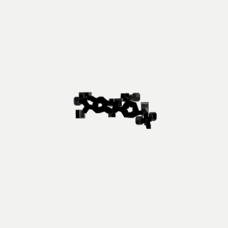 CCC1C(=O)Nc2cc3[nH]c(-c4ccc(NS(C)(=O)=O)cc4OC)nc3cc21